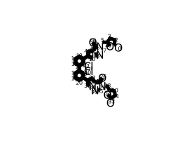 O=C1CCC(Cn2cnn3cc(-c4cccc(-c5cccc(-c6cc7c(=O)n(CC8CCC(=O)O8)cnn7c6)c5Cl)c4Cl)cc3c2=O)O1